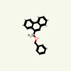 c1ccc(CO[SiH2]c2cc3ccccc3c3ccccc23)cc1